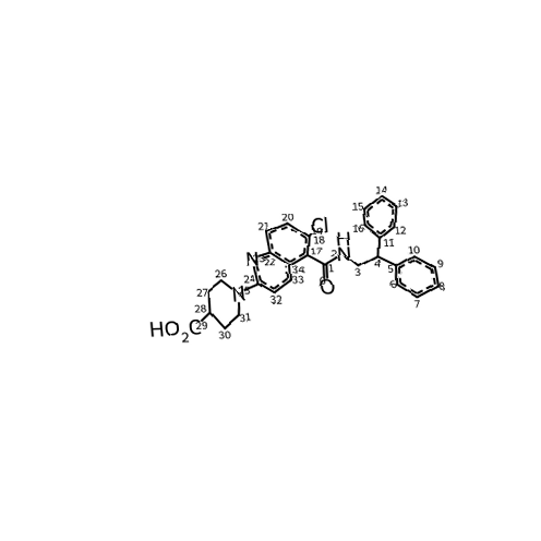 O=C(NCC(c1ccccc1)c1ccccc1)c1c(Cl)ccc2nc(N3CCC(C(=O)O)CC3)ccc12